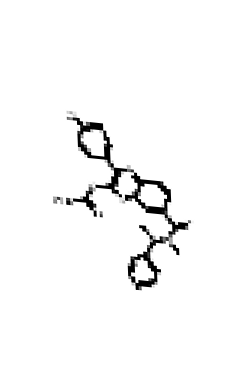 CCCCC(=O)Oc1nc2cc(C(=O)N(C)C(C)c3ccccc3)ccc2nc1-c1ccc(Cl)cc1